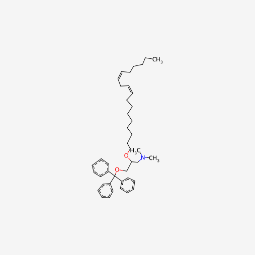 CCCCC/C=C\C/C=C\CCCCCCCCOC(COC(c1ccccc1)(c1ccccc1)c1ccccc1)CN(C)C